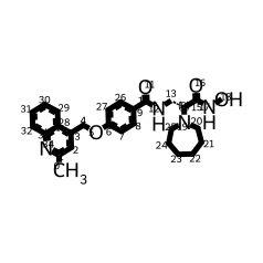 Cc1cc(COc2ccc(C(=O)NC[C@H](C(=O)NO)N3CCCCCC3)cc2)c2ccccc2n1